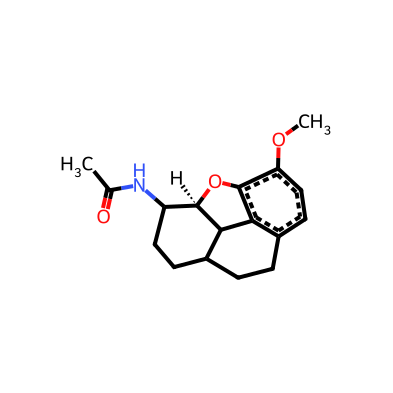 COc1ccc2c3c1O[C@@H]1C(NC(C)=O)CCC(CC2)C31